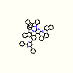 c1ccc(-c2cc(-c3ccc(-c4c(-c5ccccc5)c(-n5c6ccccc6c6c7ccccc7ccc65)nc(-n5c6ccccc6c6c7ccccc7ccc65)c4-n4c5ccccc5c5c6ccccc6ccc54)cc3)nc(-c3ccccc3)n2)cc1